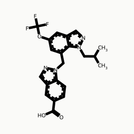 CC(C)Cn1ncc2cc(OC(F)(F)F)cc(Cn3ncc4cc(C(=O)O)ccc43)c21